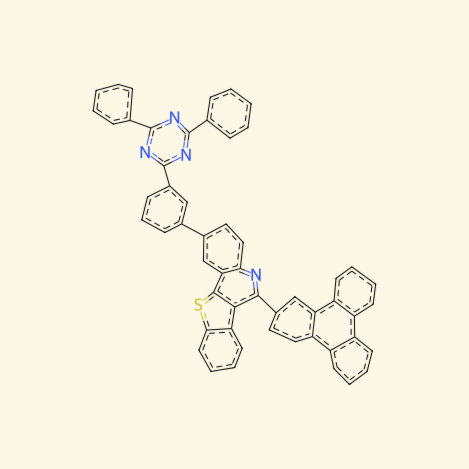 c1ccc(-c2nc(-c3ccccc3)nc(-c3cccc(-c4ccc5nc(-c6ccc7c8ccccc8c8ccccc8c7c6)c6c7ccccc7sc6c5c4)c3)n2)cc1